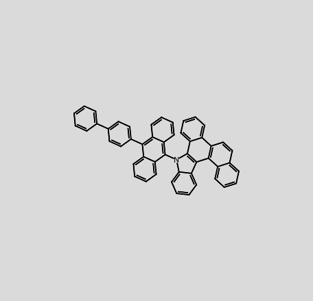 c1ccc(-c2ccc(-c3c4ccccc4c(-n4c5ccccc5c5c6c7ccccc7ccc6c6ccccc6c54)c4ccccc34)cc2)cc1